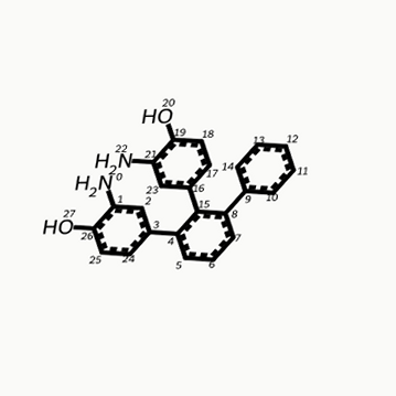 Nc1cc(-c2cccc(-c3ccccc3)c2-c2ccc(O)c(N)c2)ccc1O